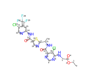 CCOC(=O)CNc1ncnc(C(=O)NC(C)c2ncc(C(=O)Nc3cc(C(F)(F)F)c(Cl)cn3)s2)c1Cl